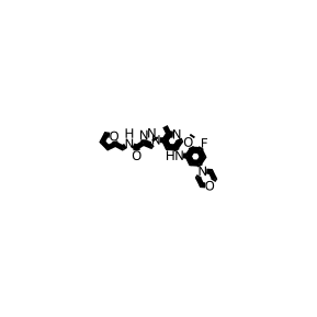 COc1c(F)cc(N2CCOCC2)cc1Nc1cnc(C)c(-n2cc(C(=O)NCC3CCCO3)nn2)c1